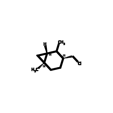 CC1[C@H](CCl)CC[C@@]2(C)C[C@H]12